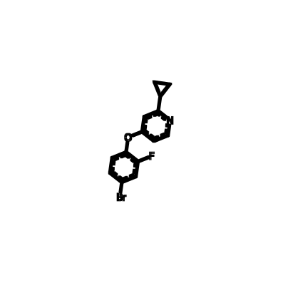 Fc1cc(Br)ccc1Oc1ccnc(C2CC2)c1